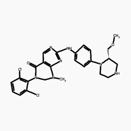 COC[C@@H]1CNCCN1c1ccc(Nc2ncc3c(n2)N(C)CN(c2c(Cl)cccc2Cl)C3=O)cc1